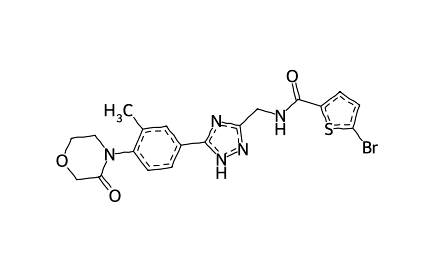 Cc1cc(-c2nc(CNC(=O)c3ccc(Br)s3)n[nH]2)ccc1N1CCOCC1=O